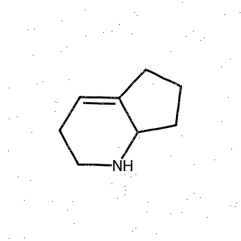 C1=C2CCCC2NCC1